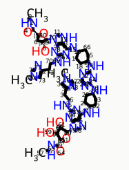 CCNC(=O)[C@@H]1C[C@@H](O)[C@H](n2cnc3c(N[C@H]4CC[C@H](Nc5ncnc(N[C@H]6CC[C@H](Nc7nc(NCCc8cn(C)cn8)nc8c7ncn8[C@@H]7O[C@H](C(=O)NCC)[C@@H](O)[C@H]7O)CC6)n5)CC4)nc(NCCc4cn(C)cn4)nc32)O1